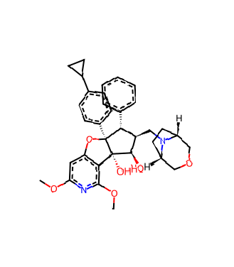 COc1cc2c(c(OC)n1)[C@]1(O)[C@H](O)[C@H](CN3[C@@H]4CC[C@H]3COC4)[C@@H](c3ccccc3)[C@]1(c1ccc(C3CC3)cc1)O2